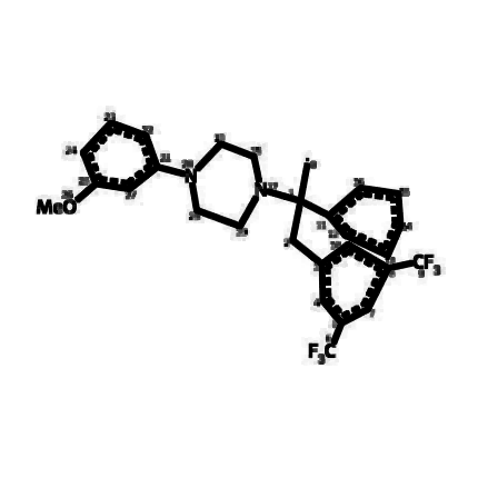 [CH2]C(Cc1cc(C(F)(F)F)cc(C(F)(F)F)c1)(c1ccccc1)N1CCN(c2cccc(OC)c2)CC1